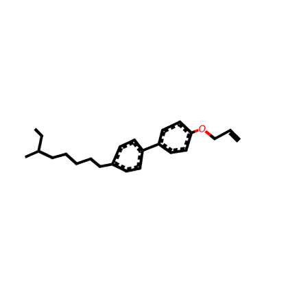 C=CCOc1ccc(-c2ccc(CCCCCC(C)CC)cc2)cc1